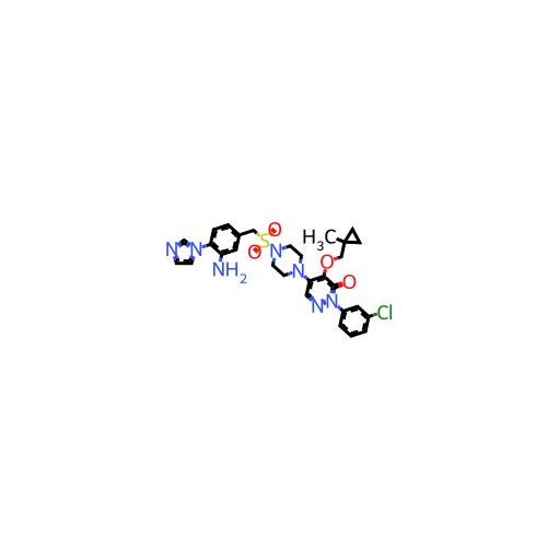 CC1(COc2c(N3CCN(S(=O)(=O)Cc4ccc(-n5ccnc5)c(N)c4)CC3)cnn(-c3cccc(Cl)c3)c2=O)CC1